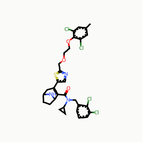 Cc1cc(Cl)c(OCCOCc2ncc(C3=C(C(=O)N(Cc4cccc(Cl)c4Cl)C4CC4)C4CCC(C3)N4)s2)c(Cl)c1